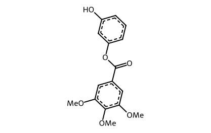 COc1cc(C(=O)Oc2cccc(O)c2)cc(OC)c1OC